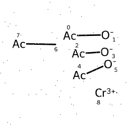 CC(=O)[O-].CC(=O)[O-].CC(=O)[O-].CC(C)=O.[Cr+3]